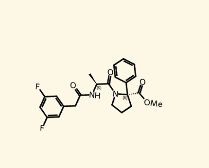 COC(=O)[C@]1(c2ccccc2)CCCN1C(=O)[C@H](C)NC(=O)Cc1cc(F)cc(F)c1